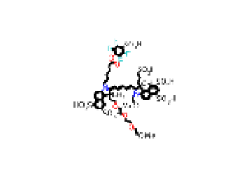 COCCOCCOCCOCCC1(C)\C(=C/C=C/C=C/C2N(CCOC)c3ccc4c(S(=O)(=O)O)cc(S(=O)(=O)O)cc4c3C2(C)CCCS(=O)(=O)O)N(CCCCCC(=O)Oc2c(F)c(F)c(S(=O)(=O)O)c(F)c2F)c2ccc3c(S(=O)(=O)O)cc(S(=O)(=O)O)cc3c21